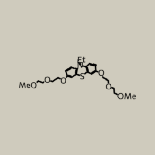 CCN1c2ccc(OCCOCCOC)cc2Sc2cc(OCCOCCOC)ccc21